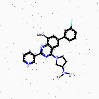 COc1cc(-c2cccc(F)c2)cc2c(N3CCC(N(C)C)C3)nc(-c3cccnc3)nc12